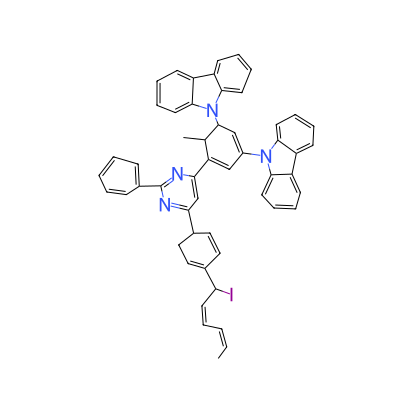 C/C=C\C=C/C(I)C1=CCC(c2cc(C3=CC(n4c5ccccc5c5ccccc54)=CC(n4c5ccccc5c5ccccc54)C3C)nc(-c3ccccc3)n2)C=C1